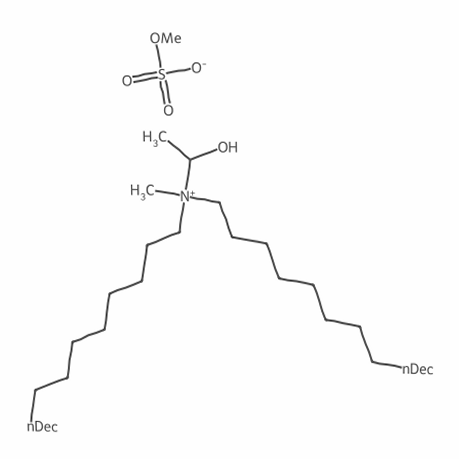 CCCCCCCCCCCCCCCCCC[N+](C)(CCCCCCCCCCCCCCCCCC)C(C)O.COS(=O)(=O)[O-]